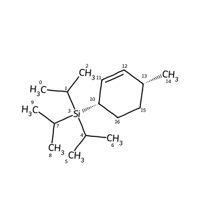 CC(C)[Si](C(C)C)(C(C)C)[C@@H]1C=C[C@H](C)CC1